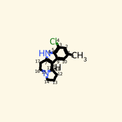 Cc1cc(Cl)c2[nH]c3c(c2c1)[C@H]1CCCN1CC3